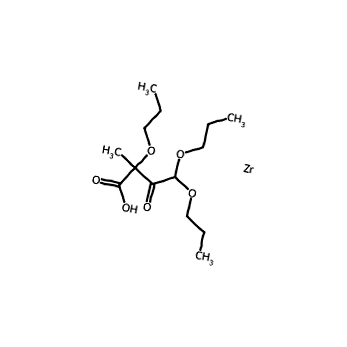 CCCOC(OCCC)C(=O)C(C)(OCCC)C(=O)O.[Zr]